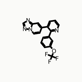 FC(F)(F)Oc1cccc(-c2ncccc2-c2ccn3ncnc3c2)c1